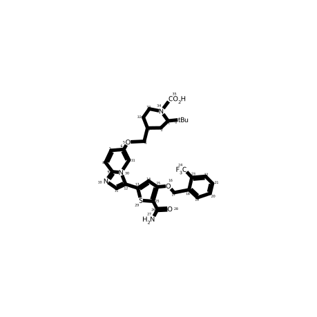 CC(C)(C)C1CC(COc2ccc3ncc(-c4cc(OCc5ccccc5C(F)(F)F)c(C(N)=O)s4)n3c2)CCN1C(=O)O